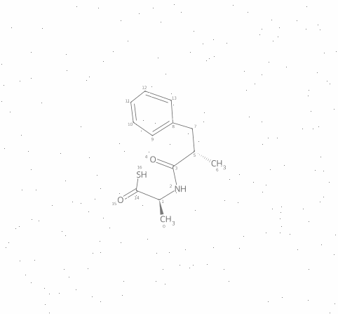 C[C@H](NC(=O)[C@@H](C)Cc1ccccc1)C(=O)S